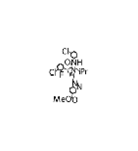 COC(=O)c1ccc2c(c1)ncn2CC[C@H]1CC(c2cccc(Cl)c2F)C(C(=O)Nc2cccc(Cl)c2)N1CC(C)C